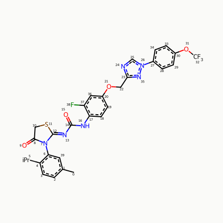 Cc1ccc(C(C)C)c(N2C(=O)CSC2=NC(=O)Nc2ccc(OCc3ncn(-c4ccc(OC(F)(F)F)cc4)n3)cc2F)c1